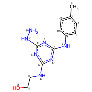 Cc1ccc(Nc2nc(NN)nc(NCCO)n2)cc1